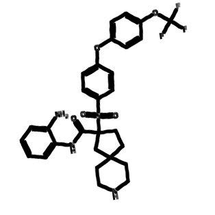 Nc1ccccc1NC(=O)C1(S(=O)(=O)c2ccc(Oc3ccc(OC(F)(F)F)cc3)cc2)CCC2(CCNCC2)C1